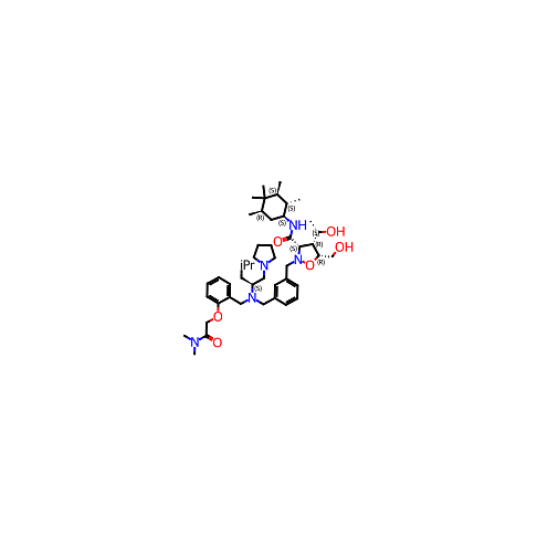 CC(C)C[C@@H](CN1CCCC1)N(Cc1cccc(CN2O[C@@H](CO)[C@@H]([C@H](C)O)[C@H]2C(=O)N[C@H]2C[C@@H](C)C(C)(C)[C@@H](C)[C@@H]2C)c1)Cc1ccccc1OCC(=O)N(C)C